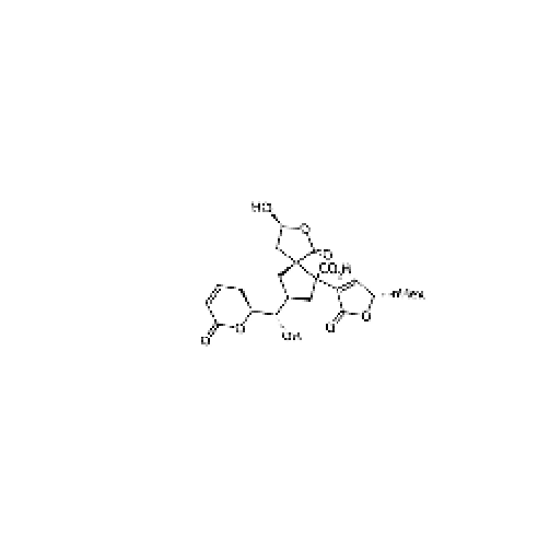 CCCCCC[C@H]1C=C([C@]2(C(=O)O)C[C@@H]([C@H](O)[C@@H]3CC=CC(=O)O3)C[C@]23C[C@@H](O)OC3=O)C(=O)O1